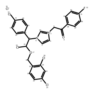 O=C(C[n+]1ccn(C(c2ccc(Cl)cc2)C(Cl)OCc2ccc(Cl)cc2Cl)c1)c1ccc(F)cc1.[Cl-]